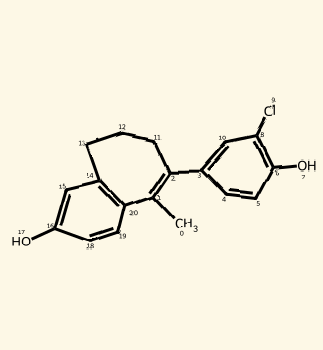 CC1=C(c2ccc(O)c(Cl)c2)CCCc2cc(O)ccc21